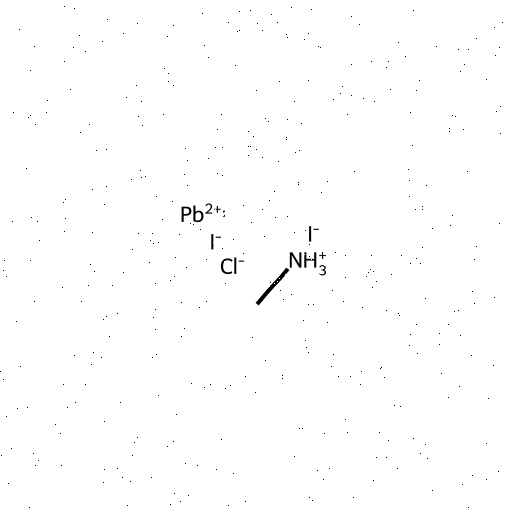 C[NH3+].[Cl-].[I-].[I-].[Pb+2]